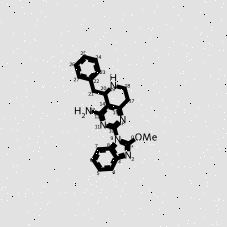 COc1nc2ccccc2n1-c1nc(N)c2c(n1)CCNC2Cc1ccccc1